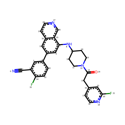 N#Cc1cc(-c2cc(NC3CCN(C(=O)Cc4ccnc(F)c4)CC3)c3cnccc3c2)ccc1F